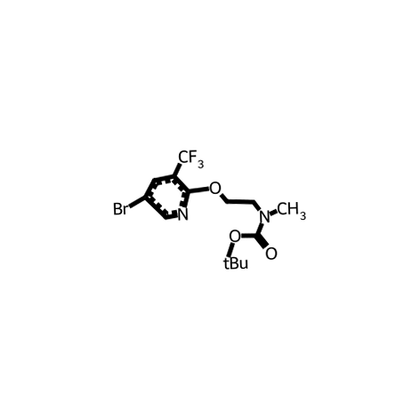 CN(CCOc1ncc(Br)cc1C(F)(F)F)C(=O)OC(C)(C)C